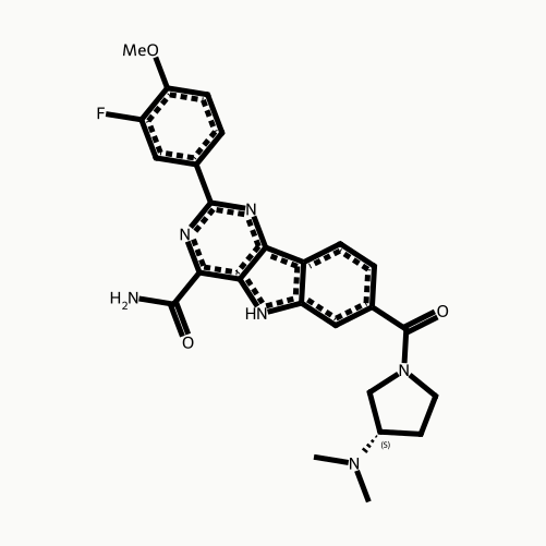 COc1ccc(-c2nc(C(N)=O)c3[nH]c4cc(C(=O)N5CC[C@H](N(C)C)C5)ccc4c3n2)cc1F